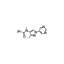 Cc1nn(-c2cncnc2)cc1N(C)C(=O)C(C)C